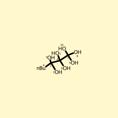 CCCCC(O)(O)C(O)(O)C(O)(O)O